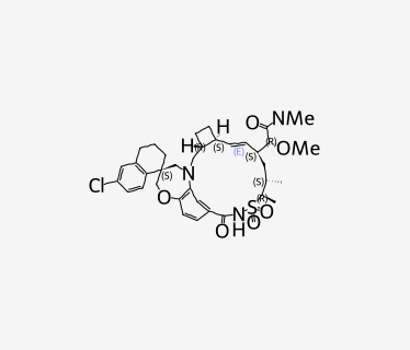 CNC(=O)[C@H](OC)[C@@H]1/C=C/[C@@H]2CC[C@H]2CN2C[C@@]3(CCCc4cc(Cl)ccc43)COc3ccc(cc32)C(=O)NS(=O)(=O)[C@H](C)[C@@H](C)C1